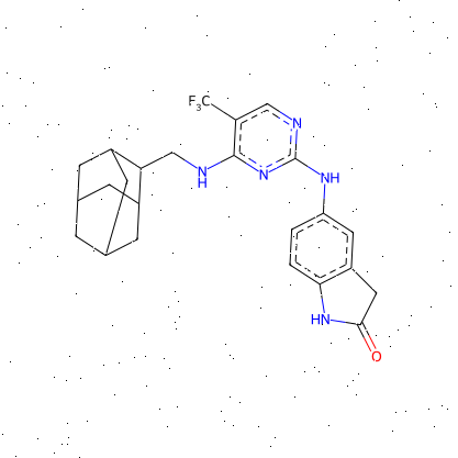 O=C1Cc2cc(Nc3ncc(C(F)(F)F)c(NCC4C5CC6CC(C5)CC4C6)n3)ccc2N1